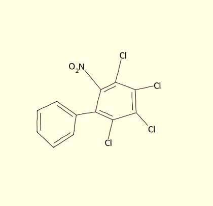 O=[N+]([O-])c1c(Cl)c(Cl)c(Cl)c(Cl)c1-c1ccccc1